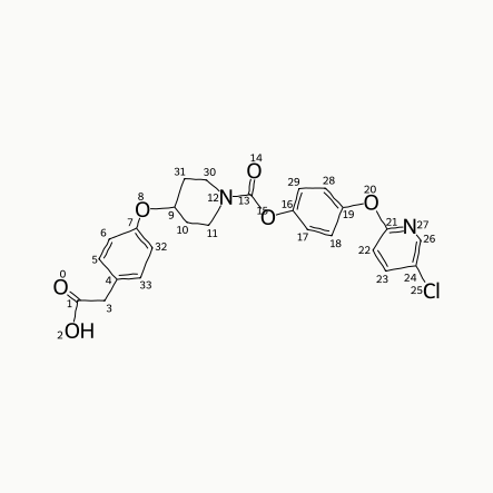 O=C(O)Cc1ccc(OC2CCN(C(=O)Oc3ccc(Oc4ccc(Cl)cn4)cc3)CC2)cc1